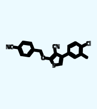 Cc1cc(-c2csc(OCc3ccc(C#N)cc3)c2C#N)ccc1Cl